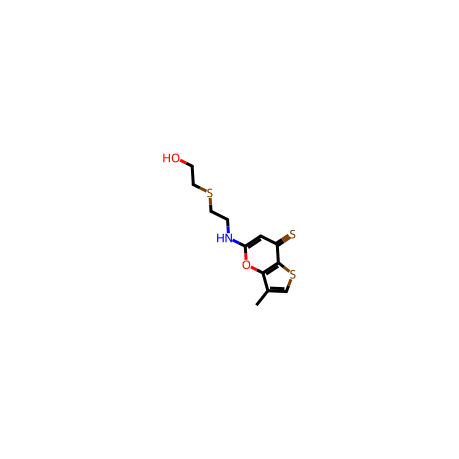 Cc1csc2c(=S)cc(NCCSCCO)oc12